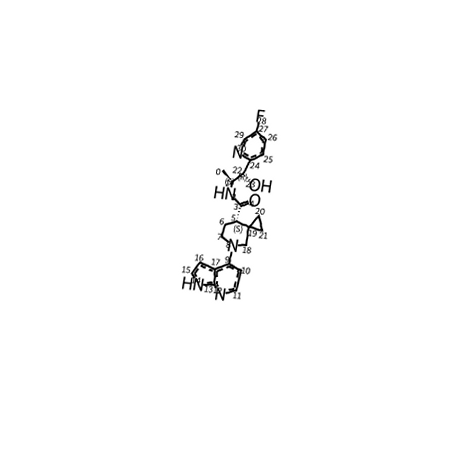 C[C@H](NC(=O)[C@H]1CCN(c2ccnc3[nH]ccc23)CC12CC2)[C@@H](O)c1ccc(F)cn1